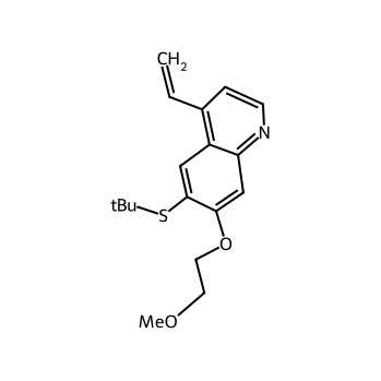 C=Cc1ccnc2cc(OCCOC)c(SC(C)(C)C)cc12